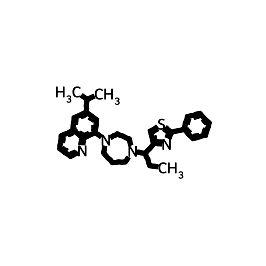 CCC(c1csc(-c2ccccc2)n1)N1CCCN(c2cc(C(C)C)cc3cccnc23)CC1